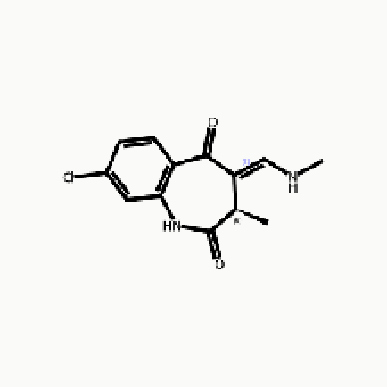 CN/C=C1/C(=O)c2ccc(Cl)cc2NC(=O)[C@@H]1C